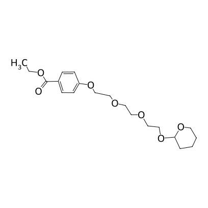 CCOC(=O)c1ccc(OCCOCCOCCOC2CCCCO2)cc1